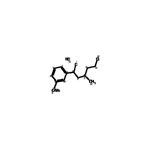 COc1cccc(C(Cl)CN(C)CCCl)c1.Cl